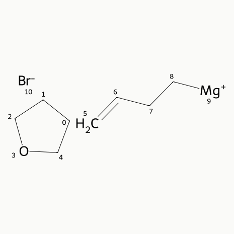 C1CCOC1.C=CC[CH2][Mg+].[Br-]